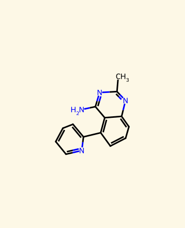 Cc1nc(N)c2c(-c3ccccn3)cccc2n1